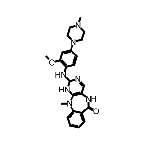 COc1cc(N2CCN(C)CC2)ccc1NC1N=CC2=C(N1)N(C)c1ccccc1C(=O)N2